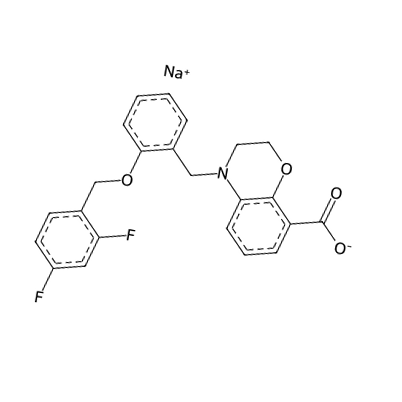 O=C([O-])c1cccc2c1OCCN2Cc1ccccc1OCc1ccc(F)cc1F.[Na+]